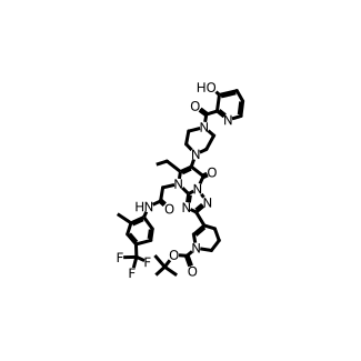 CCc1c(N2CCN(C(=O)c3ncccc3O)CC2)c(=O)n2nc(C3=CN(C(=O)OC(C)(C)C)CCC3)nc2n1CC(=O)Nc1ccc(C(F)(F)F)cc1C